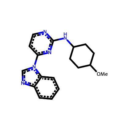 COC1CCC(Nc2nccc(-n3cnc4ccccc43)n2)CC1